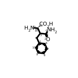 NC(=O)C(Cc1ccccc1)[C@H](N)C(=O)O